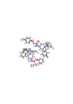 CCC(Oc1ccccc1)C(=O)NC1CCC(Cc2ccccc2C)(N(C)C)CC1.CN(C)C1(Cc2cccc(F)c2)CCC(NC(=O)COc2ccc(Cl)cc2)CC1